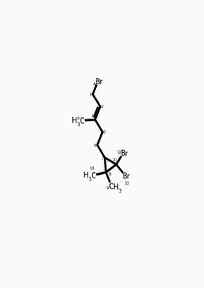 C/C(=C\CBr)CCC1C(C)(C)C1(Br)Br